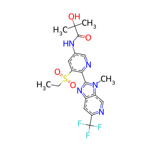 CCS(=O)(=O)c1cc(NC(=O)C(C)(C)O)cnc1-c1nc2cc(C(F)(F)F)ncc2n1C